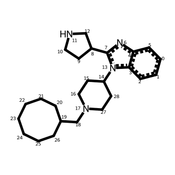 c1ccc2c(c1)nc(C1CCNC1)n2C1CCN(CC2CCCCCCC2)CC1